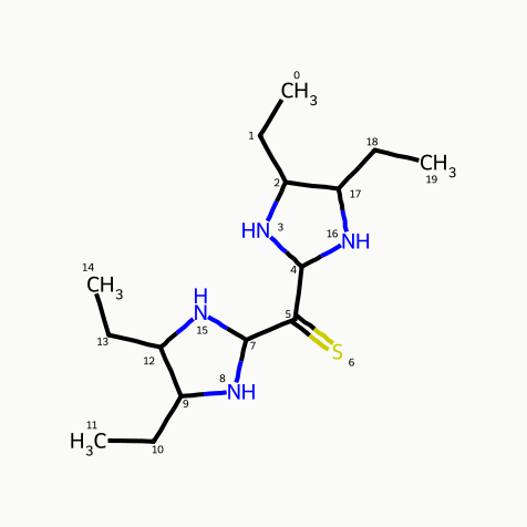 CCC1NC(C(=S)C2NC(CC)C(CC)N2)NC1CC